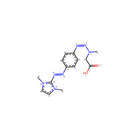 CN(CC(=O)O)/N=N\c1ccc(/N=N/c2n(C)cc[n+]2C)cc1